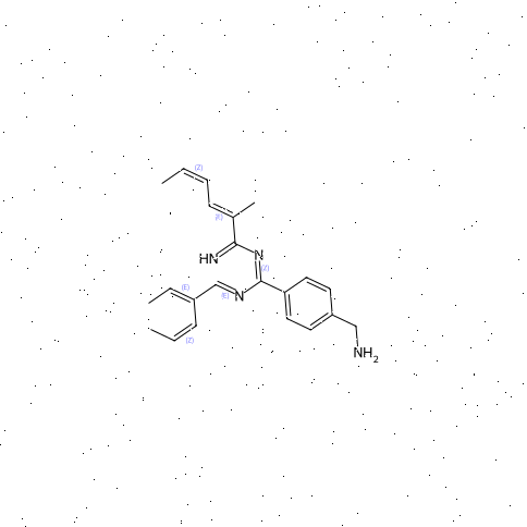 C/C=C\C=C(/C)C(=N)\N=C(/N=C/C(/C=C\C)=C/C)c1ccc(CN)cc1